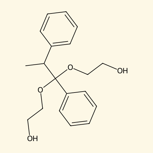 CC(c1ccccc1)C(OCCO)(OCCO)c1ccccc1